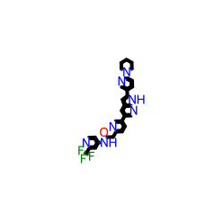 O=C(Cc1ccc(-c2cnc3[nH]c(-c4ccc(N5CCCCC5)nc4)cc3c2)cn1)Nc1ccnc(C(F)(F)F)c1